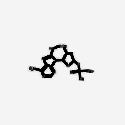 COP(=O)(O)OC1CC(O)C(n2c(NC(C)C)nc3c(N)ncnc32)O1